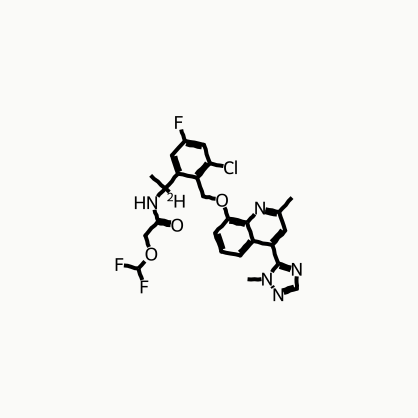 [2H]C(C)(NC(=O)COC(F)F)c1cc(F)cc(Cl)c1COc1cccc2c(-c3ncnn3C)cc(C)nc12